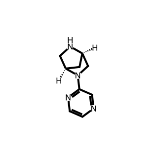 c1cnc(N2C[C@H]3C[C@@H]2CN3)cn1